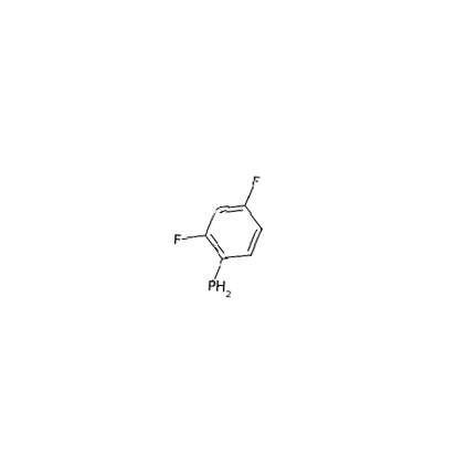 Fc1ccc(P)c(F)c1